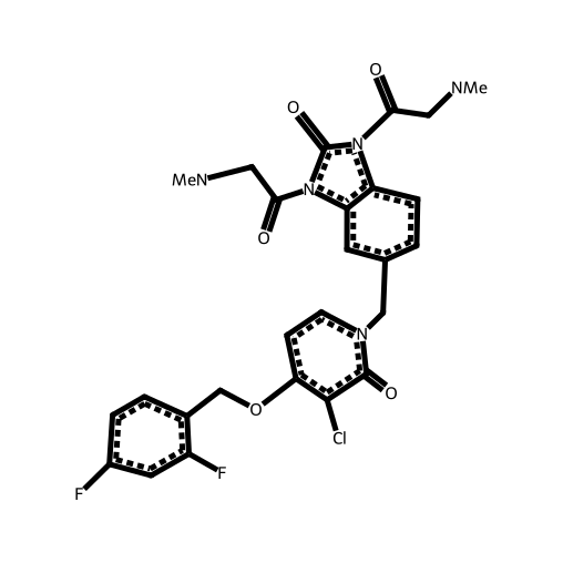 CNCC(=O)n1c(=O)n(C(=O)CNC)c2cc(Cn3ccc(OCc4ccc(F)cc4F)c(Cl)c3=O)ccc21